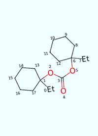 CCC1(OC(=O)OC2(CC)CCCCC2)CCCCC1